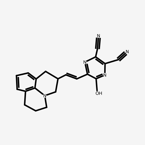 N#Cc1nc(O)c(C=CC2Cc3cccc4c3N(CCC4)C2)nc1C#N